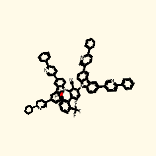 N#Cc1c(-n2c3ccc(-c4ccc(-c5ccccc5)nc4)cc3c3cc(-c4ccc(-c5ccccc5)nc4)ccc32)ccc(-c2c(C(F)(F)F)cccc2C(F)(F)F)c1-n1c2ccc(-c3ccc(-c4ccccc4)nc3)cc2c2cc(-c3ccc(-c4ccccc4)nc3)ccc21